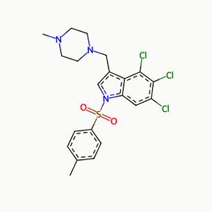 Cc1ccc(S(=O)(=O)n2cc(CN3CCN(C)CC3)c3c(Cl)c(Cl)c(Cl)cc32)cc1